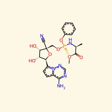 COC(=O)[C@H](C)NP(=S)(OC[C@@]1(C#N)O[C@@H](c2ccc3c(N)ncnn23)[C@H](O)[C@@H]1O)Oc1ccccc1